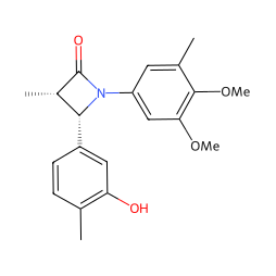 COc1cc(N2C(=O)[C@@H](C)[C@H]2c2ccc(C)c(O)c2)cc(C)c1OC